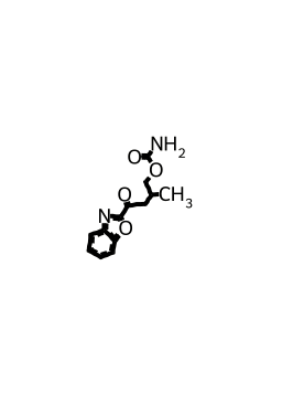 CC(COC(N)=O)CC(=O)c1nc2ccccc2o1